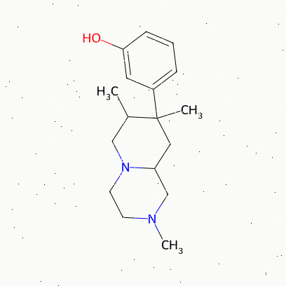 CC1CN2CCN(C)CC2CC1(C)c1cccc(O)c1